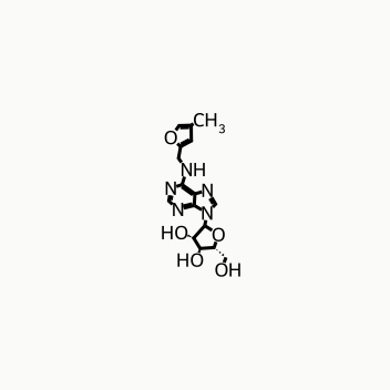 Cc1coc(CNc2ncnc3c2ncn3C2O[C@H](CO)[C@@H](O)[C@@H]2O)c1